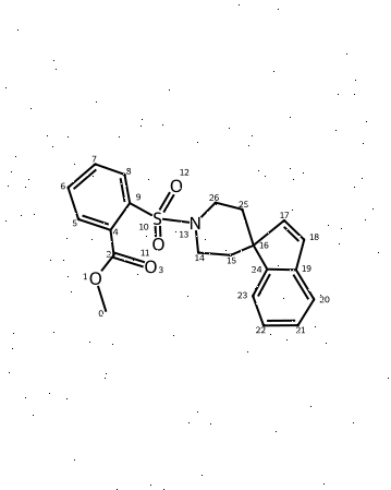 COC(=O)c1ccccc1S(=O)(=O)N1CCC2(C=Cc3ccccc32)CC1